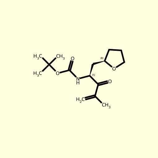 C=C(C)C(=O)[C@H](C[C@H]1CCCO1)NC(=O)OC(C)(C)C